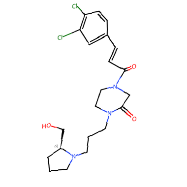 O=C(C=Cc1ccc(Cl)c(Cl)c1)N1CCN(CCCN2CCC[C@H]2CO)C(=O)C1